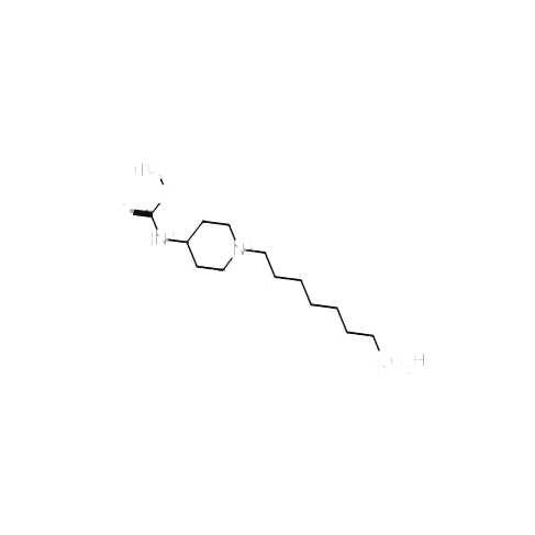 CC(C)(C)OC(=O)NC1CCN(CCCCCCCC(=O)O)CC1